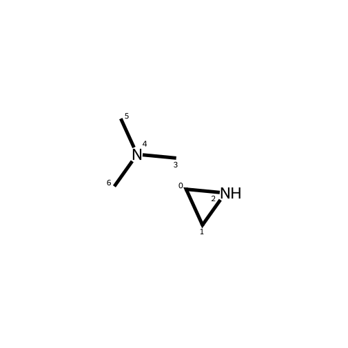 C1CN1.CN(C)C